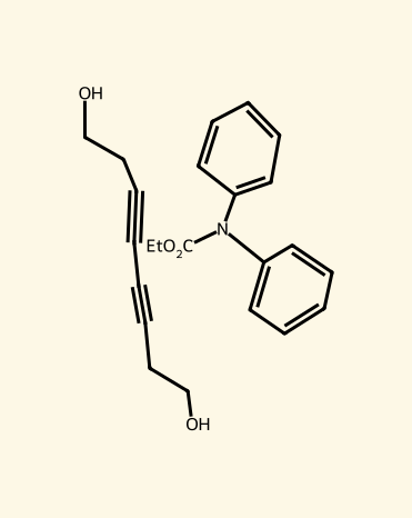 CCOC(=O)N(c1ccccc1)c1ccccc1.OCCC#CC#CCCO